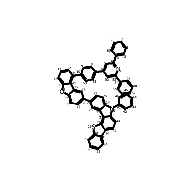 c1ccc(-c2cc(-c3ccc(-c4cccc5oc6ccc(-c7ccc8c(c7)c7c9sc%10ccccc%10c9ccc7n8-c7ccccc7)cc6c45)cc3)cc(-c3ccccc3)n2)cc1